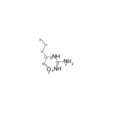 CCC[C](C=O)NC(=N)N